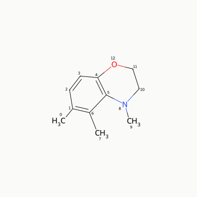 Cc1ccc2c(c1C)N(C)CCO2